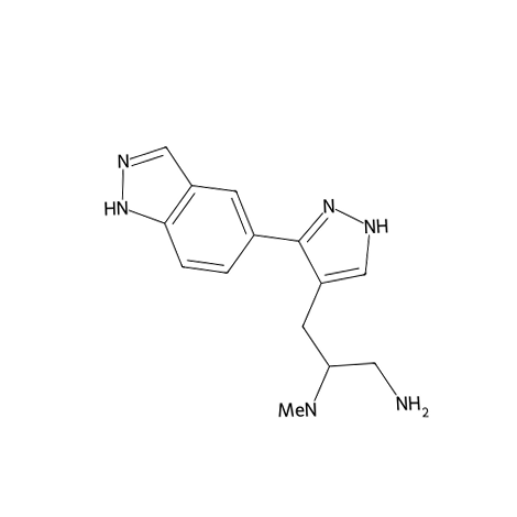 CNC(CN)Cc1c[nH]nc1-c1ccc2[nH]ncc2c1